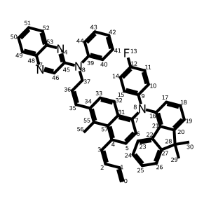 C=C/C=C\c1ccc(N(c2ccc(F)cc2)c2cccc3c2-c2ccccc2C3(C)C)c2ccc(/C=C\CN(c3ccccc3)c3cnc4ccccc4n3)c(C)c12